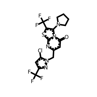 O=c1cc(Cn2nc(C(F)(F)F)cc2Cl)nc2sc(C(F)(F)F)c(N3CCCC3)n12